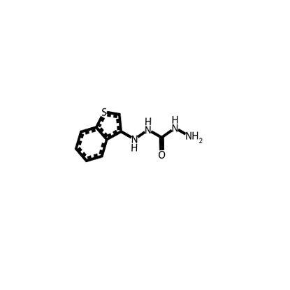 NNC(=O)NNc1csc2ccccc12